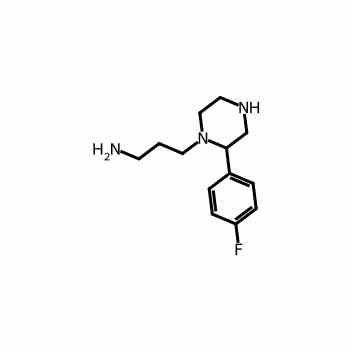 NCCCN1CCNCC1c1ccc(F)cc1